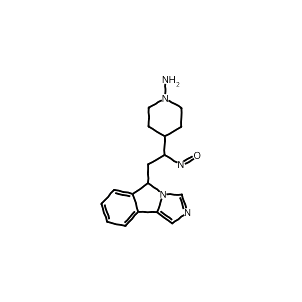 NN1CCC(C(CC2c3ccccc3-c3cncn32)N=O)CC1